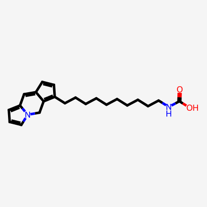 O=C(O)NCCCCCCCCCCC1=C2Cn3cccc3C=C2C=C1